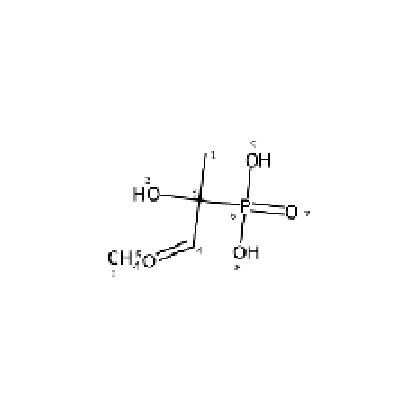 C.CC(O)(C=O)P(=O)(O)O